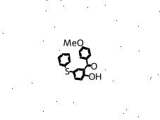 COc1ccc(C(=O)c2cc(Sc3ccccc3)ccc2O)cc1